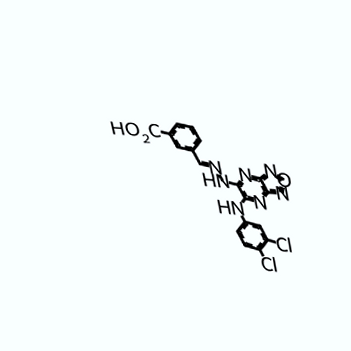 O=C(O)c1cccc(C=NNc2nc3nonc3nc2Nc2ccc(Cl)c(Cl)c2)c1